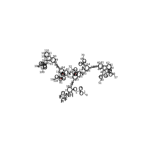 CCOC(=O)COc1cc(NC(=O)C(F)(F)F)ccc1C#Cc1cc(CN(CC(=O)OCC)Cc2cc(C#Cc3ccc4c(c3)C(CC(=O)OCC)(CC(=O)OCC)c3ccccc3-4)cc(C(=O)OCC)n2)nc(CN(CC(=O)OCC)Cc2cc(C#Cc3ccc4c(c3)C(CC(=O)OCC)(CC(=O)OCC)c3ccccc3-4)cc(C(=O)OCC)n2)c1